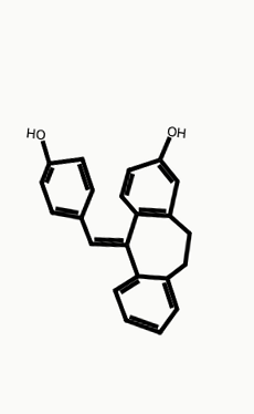 Oc1ccc(C=C2c3ccccc3CCc3cc(O)ccc32)cc1